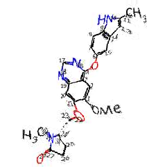 COc1cc2c(Oc3ccc4[nH]c(C)cc4c3)ncnc2cc1OC[C@@H]1CCC(=O)N1C